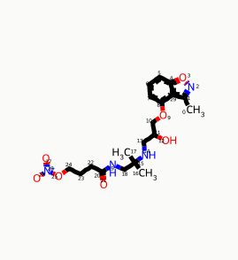 Cc1noc2cccc(OCC(O)CNC(C)(C)CNC(=O)CCCO[N+](=O)[O-])c12